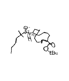 CC(C)(C)OC(=O)N1CCC2(CC[C@@H]2N[S@+]([O-])C(C)(C)CCCI)CC1